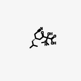 CC(C)C[C@H](CC#N)CC(=O)C(O)(C(=O)O)[SiH](C)C